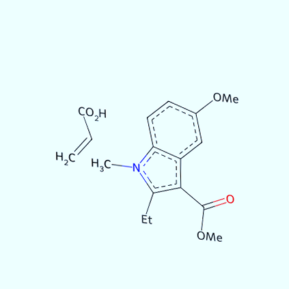 C=CC(=O)O.CCc1c(C(=O)OC)c2cc(OC)ccc2n1C